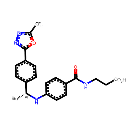 CCC(C)[C@@H](Nc1ccc(C(=O)NCCC(=O)O)cc1)c1ccc(-c2nnc(C(F)(F)F)o2)cc1